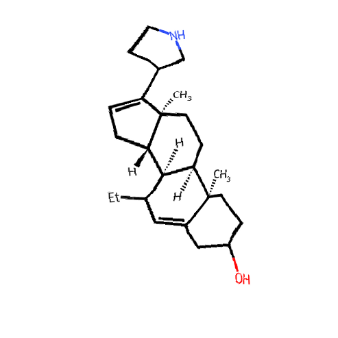 CCC1C=C2CC(O)CC[C@]2(C)[C@@H]2CC[C@]3(C)C(C4CCNC4)=CC[C@H]3[C@H]12